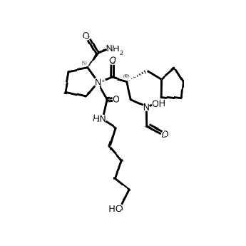 NC(=O)[C@@H]1CCC[N+]1(C(=O)NCCCCCO)C(=O)[C@H](CC1CCCC1)CN(O)C=O